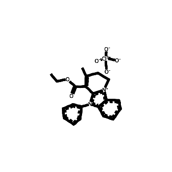 CCOC(=O)C1=C(C)CC[n+]2c1n(-c1ccccc1)c1ccccc12.[O-][Cl+3]([O-])([O-])[O-]